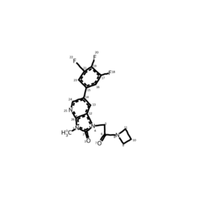 Cn1c(=O)n(CC(=O)N2CCC2)c2cc(-c3cc(F)c(F)c(F)c3)cnc21